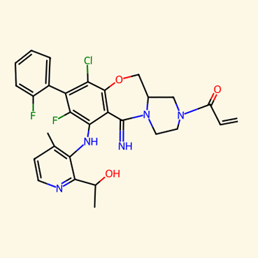 C=CC(=O)N1CCN2C(=N)c3c(Nc4c(C)ccnc4C(C)O)c(F)c(-c4ccccc4F)c(Cl)c3OCC2C1